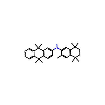 Cc1cc2c(cc1Nc1ccc3c(c1)C(C)(C)c1ccccc1C3(C)C)C(C)(C)CCC2(C)C